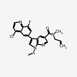 C=CCN(C)C(=O)c1cnc2c(c1)c(-c1cc(F)c3nccc(Cl)c3c1)cn2SI